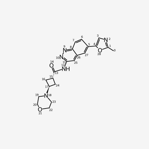 Cc1ncc(-c2ccc3nnc(NC(=O)[C@H]4C[C@H](N5CCOCC5)C4)cc3c2)o1